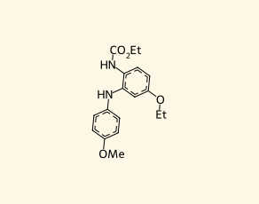 CCOC(=O)Nc1ccc(OCC)cc1Nc1ccc(OC)cc1